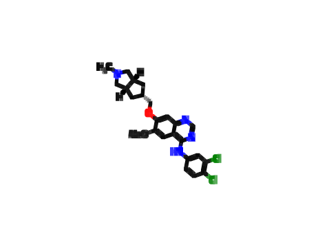 COc1cc2c(Nc3ccc(Cl)c(Cl)c3)ncnc2cc1OC[C@@H]1C[C@@H]2CN(C)C[C@@H]2C1